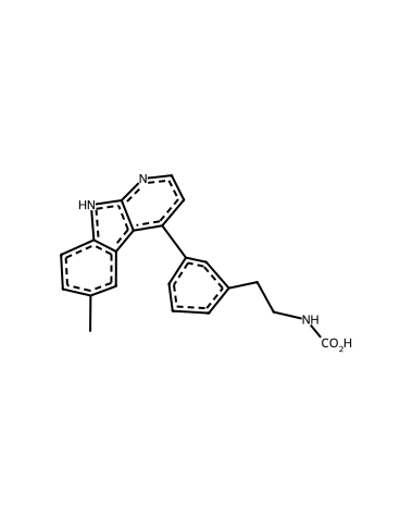 Cc1ccc2[nH]c3nccc(-c4cccc(CCNC(=O)O)c4)c3c2c1